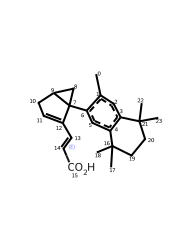 Cc1cc2c(cc1C13CC1CC=C3/C=C/C(=O)O)C(C)(C)CCC2(C)C